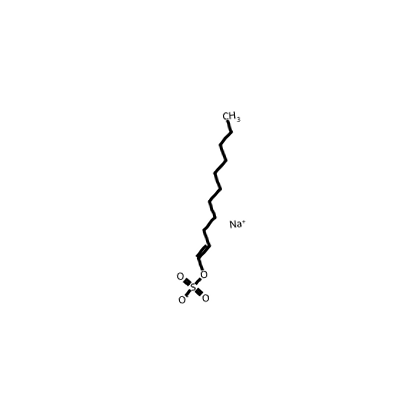 CCCCCCCCC/C=C/OS(=O)(=O)[O-].[Na+]